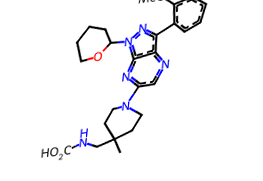 COc1ccccc1-c1nn(C2CCCCO2)c2nc(N3CCC(C)(CNC(=O)O)CC3)cnc12